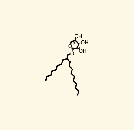 CCCCCCCCCCC(CCCCCCCC)CO[C@H]1OC[C@@H](O)[C@@H](O)[C@@H]1O